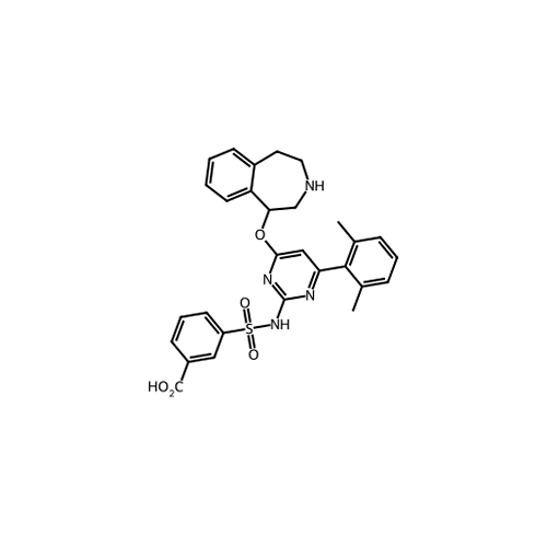 Cc1cccc(C)c1-c1cc(OC2CNCCc3ccccc32)nc(NS(=O)(=O)c2cccc(C(=O)O)c2)n1